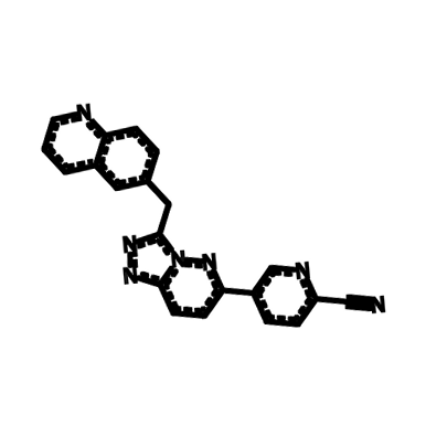 N#Cc1ccc(-c2ccc3nnc(Cc4ccc5ncccc5c4)n3n2)cn1